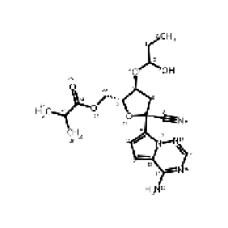 CCC(O)O[C@H]1C[C@](C#N)(c2ccc3c(N)ncnn23)O[C@@H]1COC(=O)C(C)C